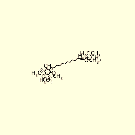 COc1c(C)c(CCCCCCCCCCCC#CO[Si](C)(C)C(C)(C)C)c(OC)c(OC)c1OC